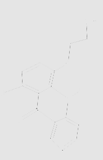 CCCCCCCCCCCCOc1ccc(Cl)c2c(=O)c3ccccc3[s+]([O-])c12